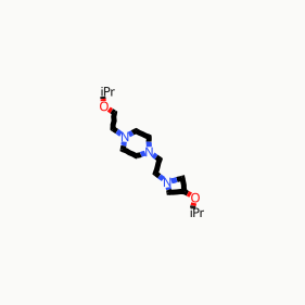 CC(C)OCCN1CCN(CCN2CC(OC(C)C)C2)CC1